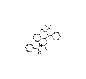 C[C@@H]1C[C@H](N(C(=O)C(C)(C)C)c2ccccc2)c2ccccc2N1C(=O)c1ccccc1